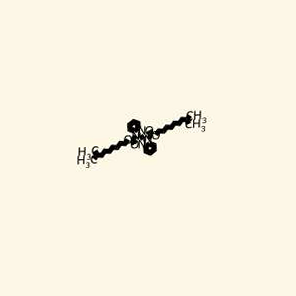 CC(C)CCCCCCCOC(=O)n1c(-c2nc3ccccc3n2C(=O)OCCCCCCCC(C)C)nc2ccccc21